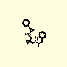 C[C@H](Cc1ccccc1)NCC1(CN[C@@H]2CC2c2ccccc2)CC1